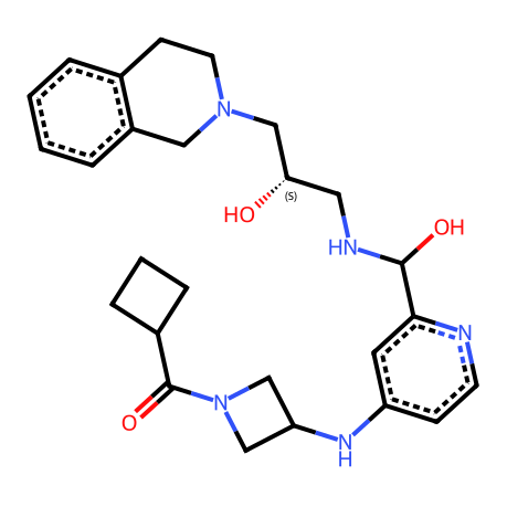 O=C(C1CCC1)N1CC(Nc2ccnc(C(O)NC[C@H](O)CN3CCc4ccccc4C3)c2)C1